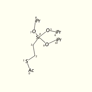 CC(=O)SCC[Si](OC(C)C)(OC(C)C)OC(C)C